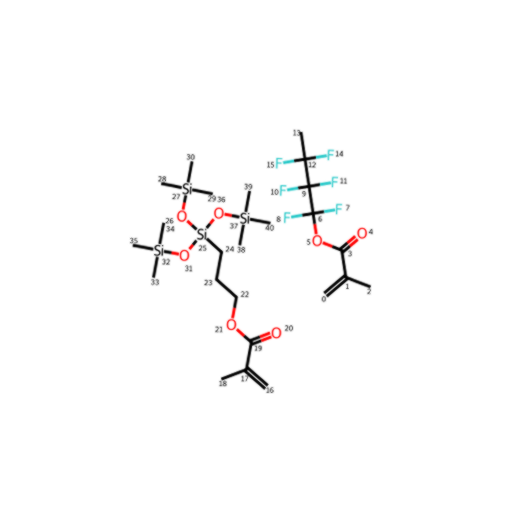 C=C(C)C(=O)OC(F)(F)C(F)(F)C(C)(F)F.C=C(C)C(=O)OCCC[Si](O[Si](C)(C)C)(O[Si](C)(C)C)O[Si](C)(C)C